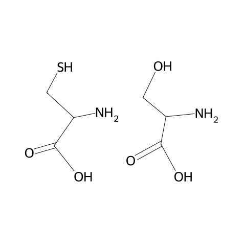 NC(CO)C(=O)O.NC(CS)C(=O)O